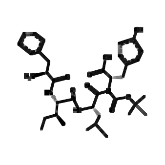 CC[C@H](C)[C@H](NC(=O)[C@@H](N)Cc1ccccc1)C(=O)N[C@@H](CC(C)C)C(=O)N(C(=O)OC(C)(C)C)[C@@H](Cc1ccc(O)cc1)C(=O)O